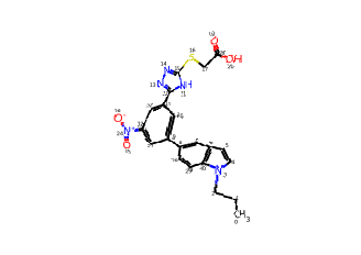 CCCn1ccc2cc(-c3cc(-c4nnc(SCC(=O)O)[nH]4)cc([N+](=O)[O-])c3)ccc21